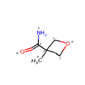 CC1(C(N)=O)COC1